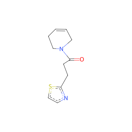 O=C(CCc1nccs1)N1CC=CCC1